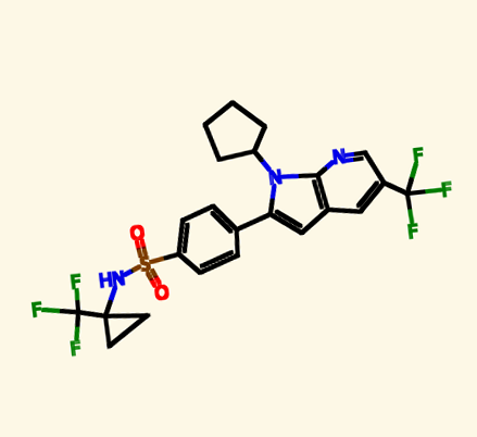 O=S(=O)(NC1(C(F)(F)F)CC1)c1ccc(-c2cc3cc(C(F)(F)F)cnc3n2C2CCCC2)cc1